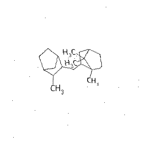 CC1C2CCC(C2)C1CC1CC2CCC1(C)C2(C)C